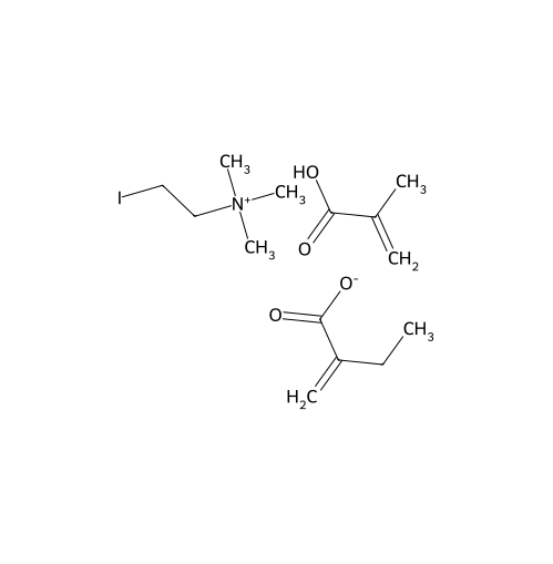 C=C(C)C(=O)O.C=C(CC)C(=O)[O-].C[N+](C)(C)CCI